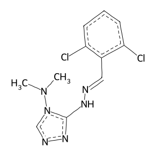 CN(C)n1cnnc1N/N=C/c1c(Cl)cccc1Cl